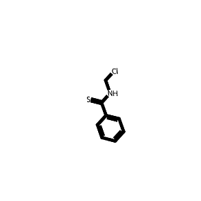 S=C(NCCl)c1ccccc1